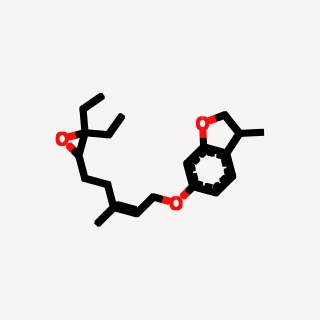 CCC1(CC)OC1CCC(C)=CCOc1ccc2c(c1)OCC2C